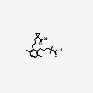 Cc1ccc(C)c(CCCC2(C(=O)O)CC2)c1CCCC(C)(C)C(=O)O